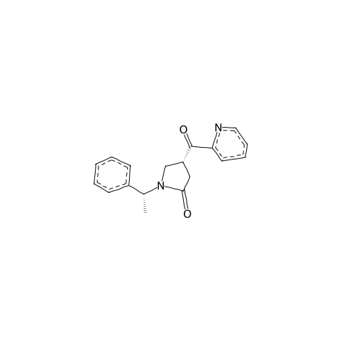 C[C@H](c1ccccc1)N1C[C@H](C(=O)c2ccccn2)CC1=O